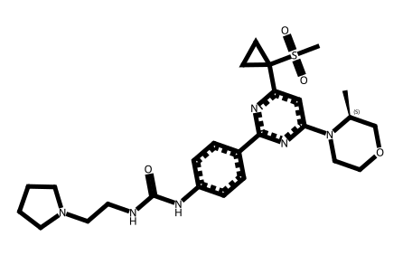 C[C@H]1COCCN1c1cc(C2(S(C)(=O)=O)CC2)nc(-c2ccc(NC(=O)NCCN3CCCC3)cc2)n1